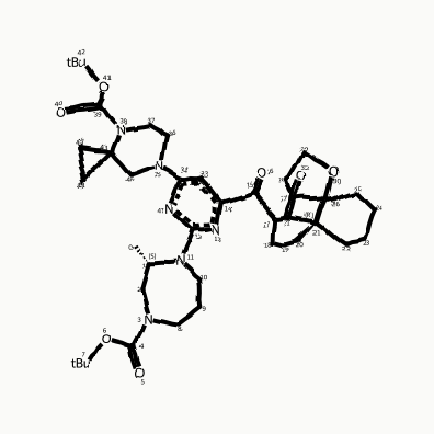 C[C@H]1CN(C(=O)OC(C)(C)C)CCCN1c1nc(C(=O)C2CCC[C@@]3(CCCCC34OCCO4)C2=O)cc(N2CCN(C(=O)OC(C)(C)C)C3(CC3)C2)n1